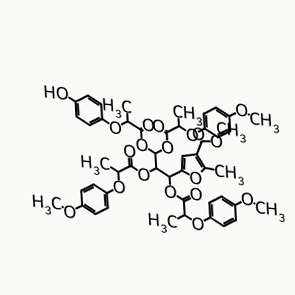 COC(=O)c1cc(C(OC(=O)C(C)Oc2ccc(OC)cc2)C(OC(=O)C(C)Oc2ccc(OC)cc2)C(OC(=O)C(C)Oc2ccc(O)cc2)OC(=O)C(C)Oc2ccc(OC)cc2)oc1C